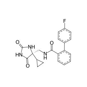 O=C1NC(=O)[C@](CNC(=O)c2ccccc2-c2ccc(F)cc2)(C2CC2)N1